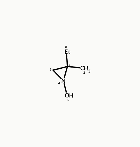 CCC1(C)CN1O